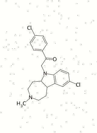 CN1CCC2c3cc(Cl)ccc3N(CC(=O)c3ccc(Cl)cc3)C2CC1